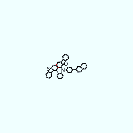 c1ccc(N(c2ccc(-c3ccc4ccccc4c3)cc2)c2cccc3c2oc2ccccc23)c(-c2cccc3sc4ccccc4c23)c1